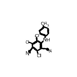 Cc1ccc(Nc2c(Cl)c(Cl)c(C#N)c(Cl)c2C#N)cc1